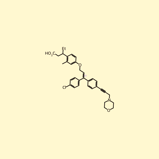 CCC(CC(=O)O)c1ccc(OC/C=C(\c2ccc(Cl)cc2)c2ccc(C#CCN3CCOCC3)cc2)cc1C